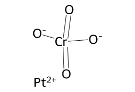 [O]=[Cr](=[O])([O-])[O-].[Pt+2]